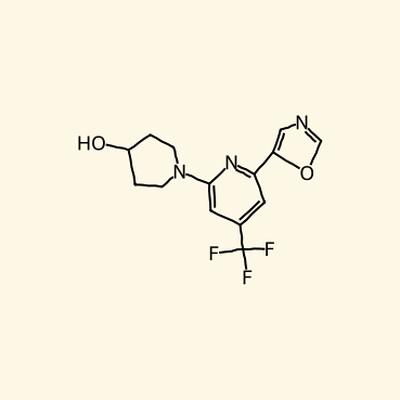 OC1CCN(c2cc(C(F)(F)F)cc(-c3cnco3)n2)CC1